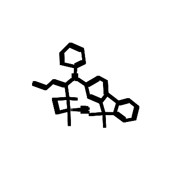 C=C/C=C(/N(c1ccccc1)c1ccc2c(c1)C(C)(C)c1ccccc1-2)C1(C)C=C[C@@]1(C)CC